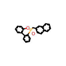 O=P1(Cc2ccc3ccccc3c2)Oc2ccccc2-c2ccccc21